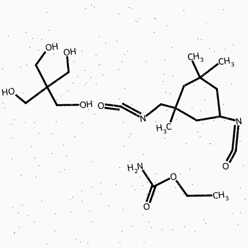 CC1(C)CC(N=C=O)CC(C)(CN=C=O)C1.CCOC(N)=O.OCC(CO)(CO)CO